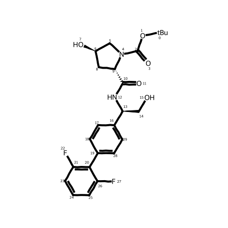 CC(C)(C)OC(=O)N1C[C@H](O)C[C@H]1C(=O)N[C@@H](CO)c1ccc(-c2c(F)cccc2F)cc1